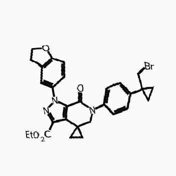 CCOC(=O)c1nn(-c2ccc3c(c2)CCO3)c2c1C1(CC1)CN(c1ccc(C3(CBr)CC3)cc1)C2=O